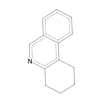 c1ccc2c3c(ncc2c1)CCCC3